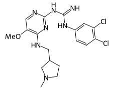 COc1cnc(NC(=N)Nc2ccc(Cl)c(Cl)c2)nc1NCC1CCN(C)C1